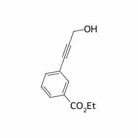 CCOC(=O)c1cccc(C#CCO)c1